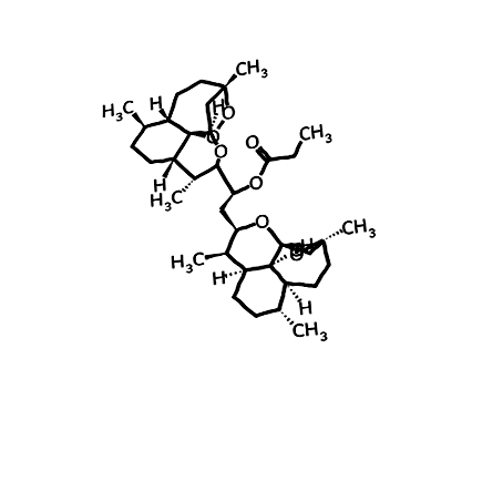 CCC(=O)O[C@@H](C[C@H]1O[C@@H]2C[C@]3(C)CC[C@H]4[C@H](C)CC[C@@H]([C@H]1C)[C@@]24OO3)C1O[C@@H]2C[C@]3(C)CC[C@H]4[C@H](C)CC[C@@H]([C@H]1C)[C@@]24OO3